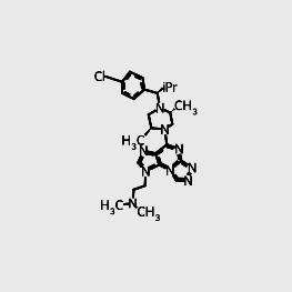 CC(C)[C@H](c1ccc(Cl)cc1)N1C[C@H](C)N(c2nc3nncn3c3c2ncn3CCN(C)C)C[C@H]1C